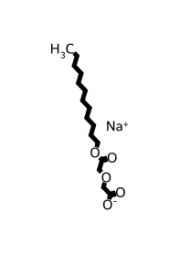 CCCCCCCCCCCCOC(=O)COCC(=O)[O-].[Na+]